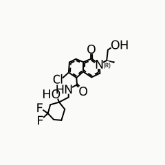 C[C@H](CO)n1ccc2c(C(=O)NCC3(O)CCCC(F)(F)C3)c(Cl)ccc2c1=O